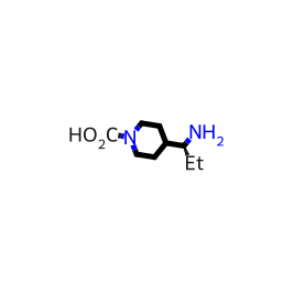 CC[C@H](N)C1CCN(C(=O)O)CC1